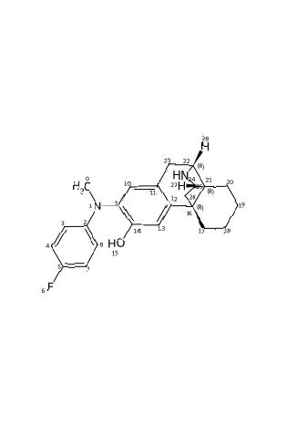 CN(c1ccc(F)cc1)c1cc2c(cc1O)[C@@]13CCCC[C@H]1[C@@H](C2)NCC3